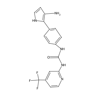 Nc1cc[nH]c1-c1ccc(NC(=O)Nc2cc(C(F)(F)F)ccn2)cc1